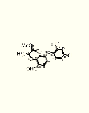 COC(=O)C(C)Oc1cc(Oc2ccc(Cl)cc2Cl)ccc1C=O